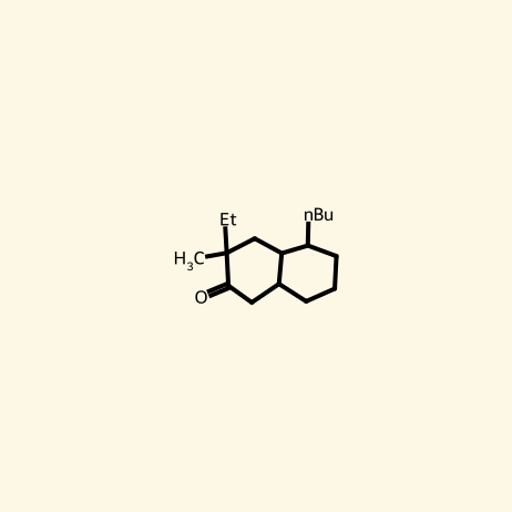 CCCCC1CCCC2CC(=O)C(C)(CC)CC12